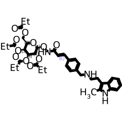 CCC(=O)OC[C@H]1O[C@@H](ONC(=O)/C=C/c2ccc(CNCCc3c(C)[nH]c4ccccc34)cc2)[C@H](OC(=O)CC)[C@@H](OC(=O)CC)[C@H]1OC(=O)CC